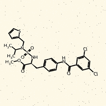 COC(=O)[C@H](Cc1ccc(NC(=O)c2cc(Cl)cc(Cl)c2)cc1)NS(=O)(=O)N(Cc1cccs1)C(C)C